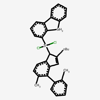 CCCCC1=Cc2c(ccc(C)c2-c2ccccc2C)[CH]1[Zr]([Cl])([Cl])[c]1cccc2c1[SiH2]c1ccccc1-2